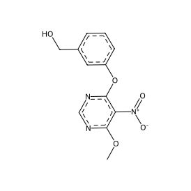 COc1ncnc(Oc2cccc(CO)c2)c1[N+](=O)[O-]